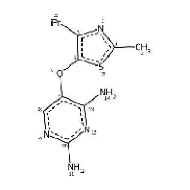 Cc1nc(C(C)C)c(Oc2cnc(N)nc2N)s1